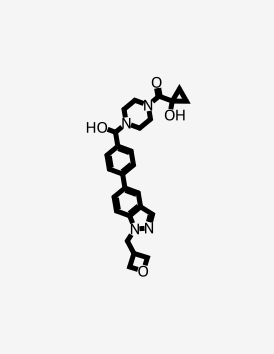 O=C(N1CCN(C(O)c2ccc(-c3ccc4c(cnn4CC4COC4)c3)cc2)CC1)C1(O)CC1